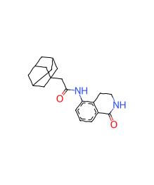 O=C(CC12CC3CC(CC(C3)C1)C2)Nc1cccc2c1CCNC2=O